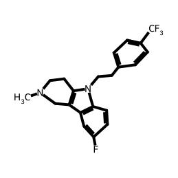 CN1CCc2c(c3cc(F)ccc3n2CCc2ccc(C(F)(F)F)cc2)C1